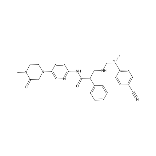 C[C@@H](CNCC(C(=O)Nc1ccc(N2CCN(C)C(=O)C2)cn1)c1ccccc1)c1ccc(C#N)cc1